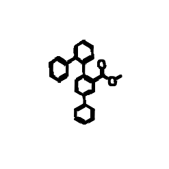 COC(=O)c1cc(-c2ccccc2)ccc1-c1ccccc1-c1ccccc1